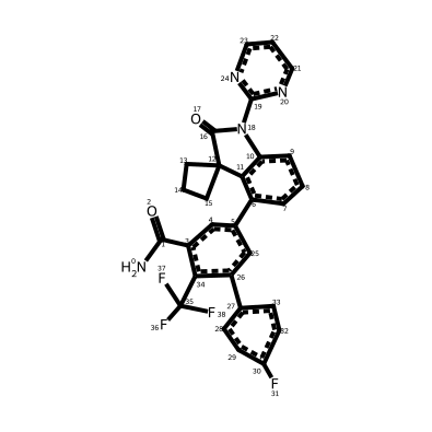 NC(=O)c1cc(-c2cccc3c2C2(CCC2)C(=O)N3c2ncccn2)cc(-c2ccc(F)cc2)c1C(F)(F)F